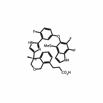 CSc1c(Oc2ccc(F)c(-c3nc([C@@]4(C)COCc5c(CCC(=O)O)cccc54)c[nH]3)c2)c(F)c(F)c2[nH]ccc12